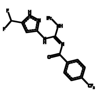 CC(C)N/C(=N/C(=O)c1ccc(C(F)(F)F)cc1)Nc1cc(C(F)F)[nH]n1